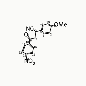 COc1ccc(C(C#N)CC(=O)c2ccc([N+](=O)[O-])cc2)cc1